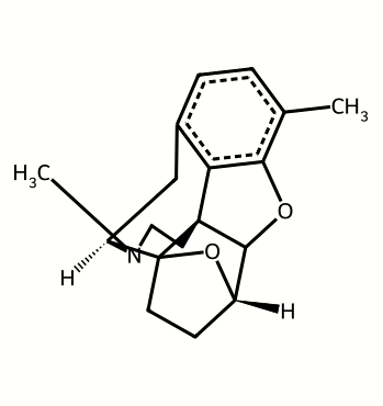 Cc1ccc2c3c1OC1[C@@H]4CCC5(O4)[C@H](C2)N(C)CC[C@@]315